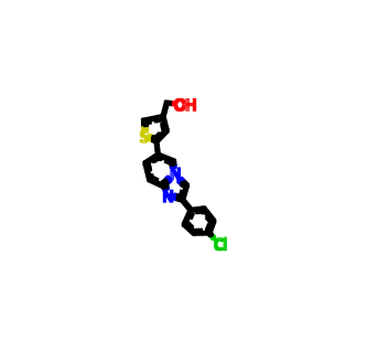 OCc1csc(-c2ccc3nc(-c4ccc(Cl)cc4)cn3c2)c1